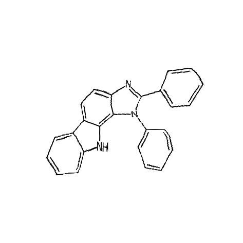 c1ccc(-c2nc3ccc4c5ccccc5[nH]c4c3n2-c2ccccc2)cc1